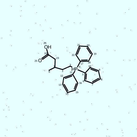 CC(CC[PH](c1ccccc1)(c1ccccc1)c1ccccc1)CC(=O)O